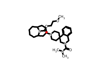 COCCOC(=O)N1C2CCCCC1CC(N1CCC3(CC1)CN(C(=O)N(C)C)Cc1ccccc13)CC2